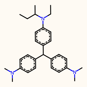 CCC(C)N(CC)c1ccc(C(c2ccc(N(C)C)cc2)c2ccc(N(C)C)cc2)cc1